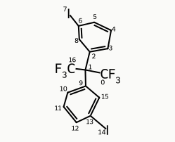 FC(F)(F)C(c1cccc(I)c1)(c1cccc(I)c1)C(F)(F)F